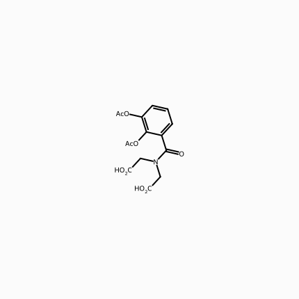 CC(=O)Oc1cccc(C(=O)N(CC(=O)O)CC(=O)O)c1OC(C)=O